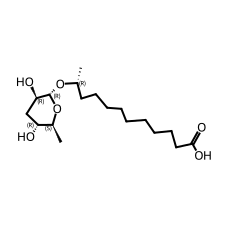 C[C@H](CCCCCCCCCC(=O)O)O[C@@H]1O[C@@H](C)[C@H](O)C[C@H]1O